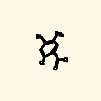 COc1cc(C(=O)Cl)c(Cl)cc1Br